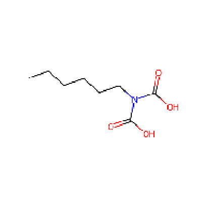 CCCCCCN(C(=O)O)C(=O)O